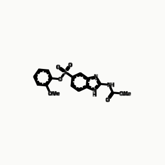 COC(=O)Nc1nc2cc(S(=O)(=O)Oc3ccccc3OC)ccc2[nH]1